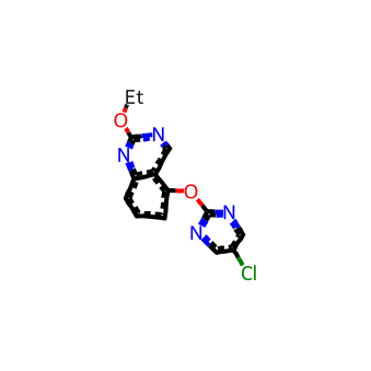 CCOc1ncc2c(Oc3ncc(Cl)cn3)cccc2n1